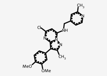 COc1ccc(-c2c(C)nn3c(NCc4ccnc(C)c4)cc(Cl)nc23)cc1OC